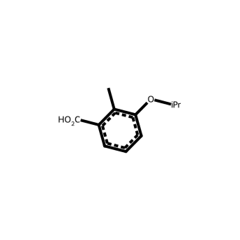 Cc1c(OC(C)C)cccc1C(=O)O